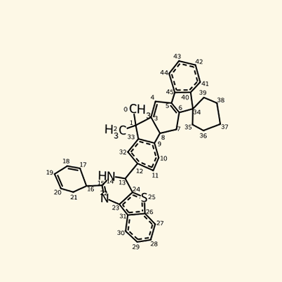 CC1(C)C2=CC3=C(CC2c2ccc(C4NC(C5C=CC=CC5)=Nc5c4sc4ccccc54)cc21)C1(CCCCC1)c1ccccc13